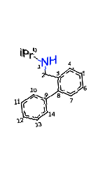 CC(C)NCc1[c]cccc1-c1ccccc1